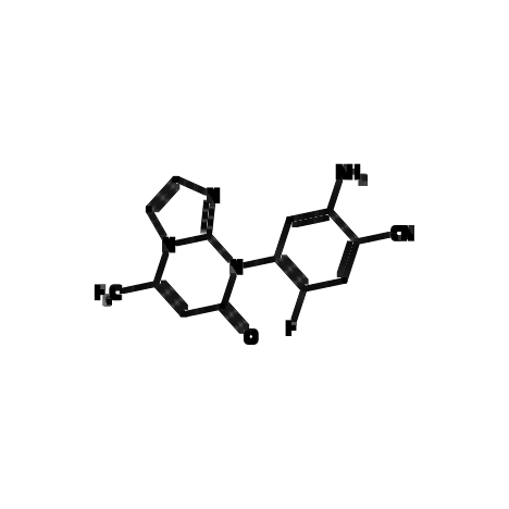 N#Cc1cc(F)c(-n2c(=O)cc(C(F)(F)F)n3ccnc23)cc1N